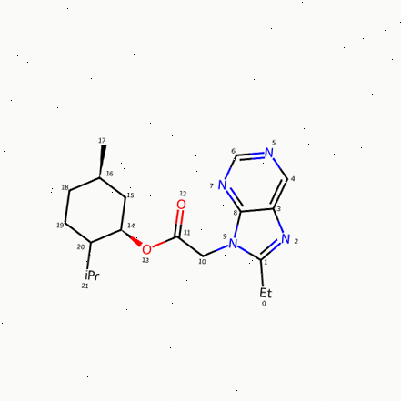 CCc1nc2cncnc2n1CC(=O)O[C@@H]1C[C@H](C)CCC1C(C)C